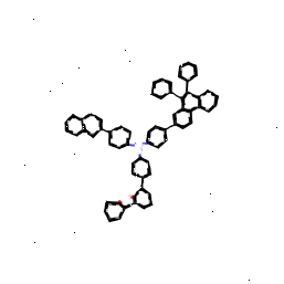 c1ccc(-c2c(-c3ccccc3)c3cc(-c4ccc(N(c5ccc(-c6ccc7ccccc7c6)cc5)c5ccc(-c6cccc7c6oc6ccccc67)cc5)cc4)ccc3c3ccccc23)cc1